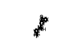 O=C1OC2(CCN(c3n[nH]c(-c4cccc(C(F)(F)F)c4)n3)CC2)c2ccccc21